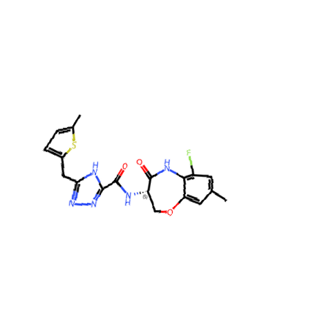 Cc1cc(F)c2c(c1)OC[C@H](NC(=O)c1nnc(Cc3ccc(C)s3)[nH]1)C(=O)N2